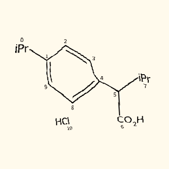 CC(C)c1ccc(C(C(=O)O)C(C)C)cc1.Cl